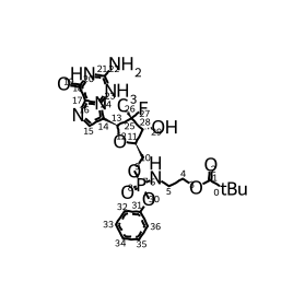 CC(C)(C)C(=O)OCCNP(=O)(OC[C@H]1O[C@@H](c2cnc3c(=O)[nH]c(N)nn23)[C@](C)(F)[C@@H]1O)Oc1ccccc1